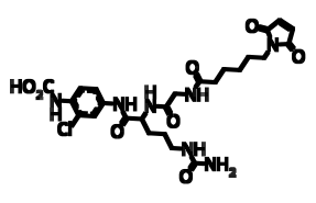 NC(=O)NCCCC(NC(=O)CNC(=O)CCCCCN1C(=O)C=CC1=O)C(=O)Nc1ccc(NC(=O)O)c(Cl)c1